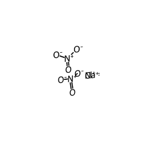 O=[N+]([O-])[O-].O=[N+]([O-])[O-].[Cl+].[Na+]